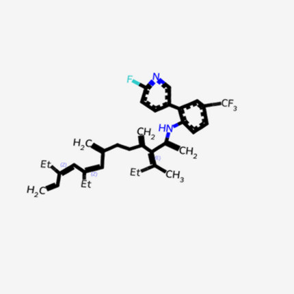 C=C/C(=C\C(=C/C(=C)CCC(=C)/C(C(=C)Nc1ccc(C(F)(F)F)cc1-c1ccc(F)nc1)=C(/C)CC)CC)CC